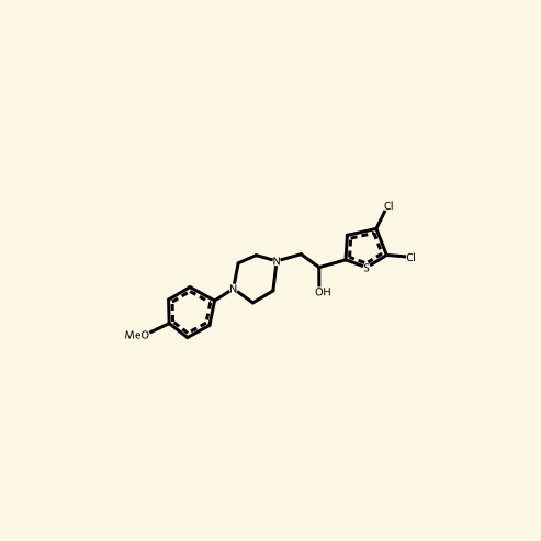 COc1ccc(N2CCN(CC(O)c3cc(Cl)c(Cl)s3)CC2)cc1